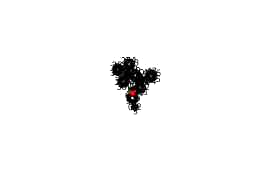 CC(C)(C)c1ccc2c(c1)-c1ccc3c(c1C2)c1cc([Si](c2ccccc2)(c2ccccc2)c2ccccc2)ccc1n3-c1ccccc1